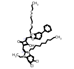 CCCCCCCCCCN1/C(=C\C2=C(O)C(=C\c3oc4ccc(-c5ccccc5)cc4[n+]3CCCCCCCCCC)/C2=O)N(CC)c2cc(Cl)c(Cl)cc21